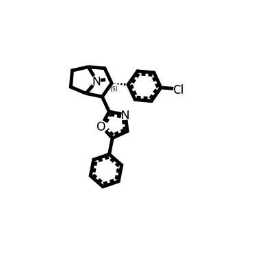 CN1C2CCC1C(c1ncc(-c3ccccc3)o1)[C@@H](c1ccc(Cl)cc1)C2